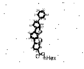 CCCCCCOC(=O)c1ccc2c(c1)oc1c2ccc2c3ccc(-c4ccccc4)cc3oc21